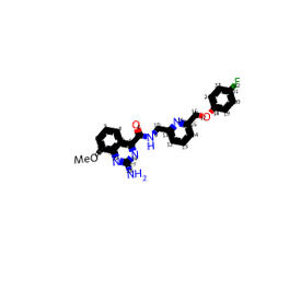 COc1cccc2c(C(=O)NCc3cccc(COc4ccc(F)cc4)n3)nc(N)nc12